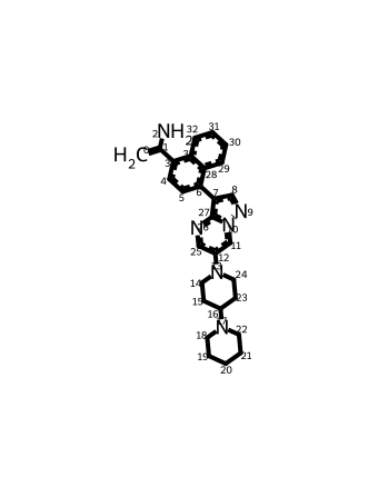 C=C(N)c1ccc(-c2cnn3cc(N4CCC(N5CCCCC5)CC4)cnc23)c2ccccc12